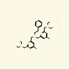 Cc1cc(CN(CC(=O)O)CC(=O)O)nc(CN(CCc2ccccc2)Cc2cc(I)cc(CN(CC(=O)O)CC(=O)O)n2)c1